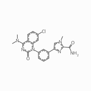 CN(C)c1nc(=O)n(-c2cccc(-c3cn(C)c(C(N)=O)n3)c2)c2cc(Cl)ccc12